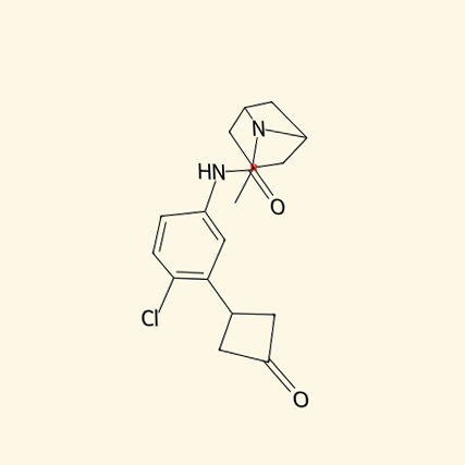 CC1CC2CC(C1)N2C(=O)Nc1ccc(Cl)c(C2CC(=O)C2)c1